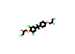 C[C@H](CCl)COc1c(Cl)cc(C(C)(C)c2ccc(OC[C@@H](C)CF)cc2)cc1Cl